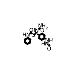 NC(=O)NN(SC(=O)Nc1ccccc1)c1ccc(NNC=O)cc1